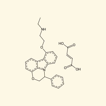 CCNCCOc1cccc2c1c1cccc3c1n2C(c1ccccc1)CO3.O=C(O)C=CC(=O)O